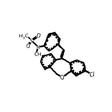 CN(c1cccc(/C=C2\c3ccccc3COc3cc(Cl)ccc32)c1)S(C)(=O)=O